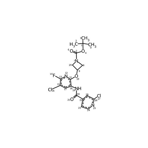 CC(C)(C)OC(=O)N1CC(Oc2nc(F)c(Cl)cc2NC(=O)c2ccnc(Cl)c2)C1